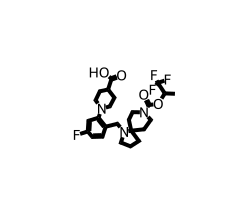 CC(OC(=O)N1CCC2(CCCN2Cc2ccc(F)cc2N2CCC(C(=O)O)CC2)CC1)C(F)(F)F